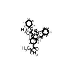 CN(C)C(=O)[C@H]1CC[C@H]2[C@@H](C1)N(Cc1ccccc1)S(=O)(=O)N2C(=O)OC1(C)CCCCC1